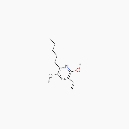 C=Cc1cc(OC)c(CCCCC)nc1OC